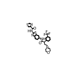 O=C(Nc1nc2ccc(NC(=O)C(CCN3CCOCC3)c3cccc(C(F)(F)F)c3)cc2s1)c1cscn1